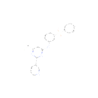 O=S(=O)(c1ccccc1)c1cccc(Nc2cc(C(F)(F)F)nc(-c3cccnc3)n2)c1